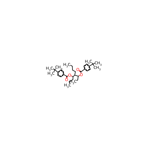 CCCCC(C(CC)OC(=O)c1ccc(C(C)(C)C)cc1)C(CCC)OC(=O)c1ccc(C(C)(C)C)cc1